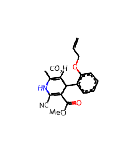 C=CCOc1ccccc1C1C(C(=O)O)=C(C)NC(C#N)=C1C(=O)OC